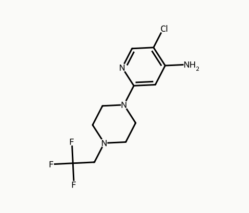 Nc1cc(N2CCN(CC(F)(F)F)CC2)ncc1Cl